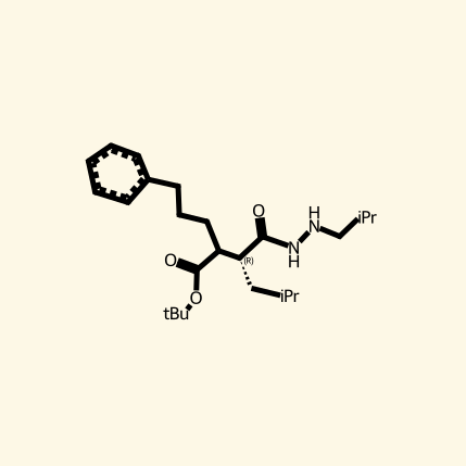 CC(C)CNNC(=O)[C@H](CC(C)C)C(CCCc1ccccc1)C(=O)OC(C)(C)C